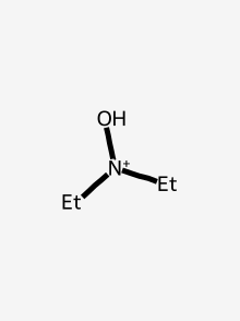 CC[N+](O)CC